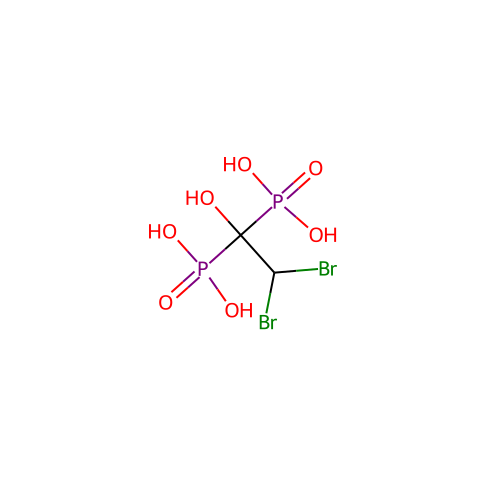 O=P(O)(O)C(O)(C(Br)Br)P(=O)(O)O